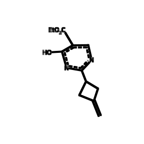 C=C1CC(c2ncc(C(=O)OCC)c(O)n2)C1